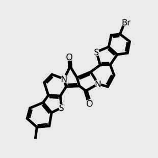 Cc1ccc2c3c(sc2c1)C1=C2C(=O)N4C=Cc5c(sc6cc(Br)ccc56)C4=C2C(=O)N1C=C3